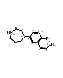 C/C=C\c1cc(N2CCCNCC2)cnc1Br